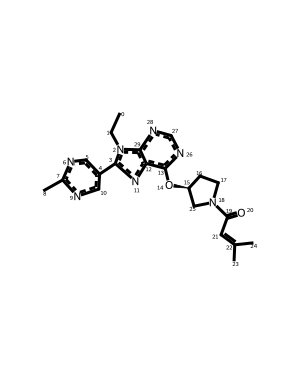 CCn1c(-c2cnc(C)nc2)nc2c(O[C@H]3CCN(C(=O)C=C(C)C)C3)ncnc21